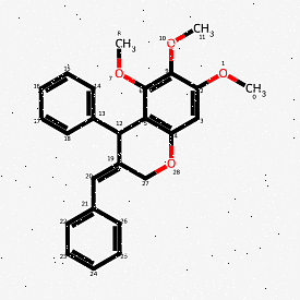 COc1cc2c(c(OC)c1OC)C(c1ccccc1)C(=Cc1ccccc1)CO2